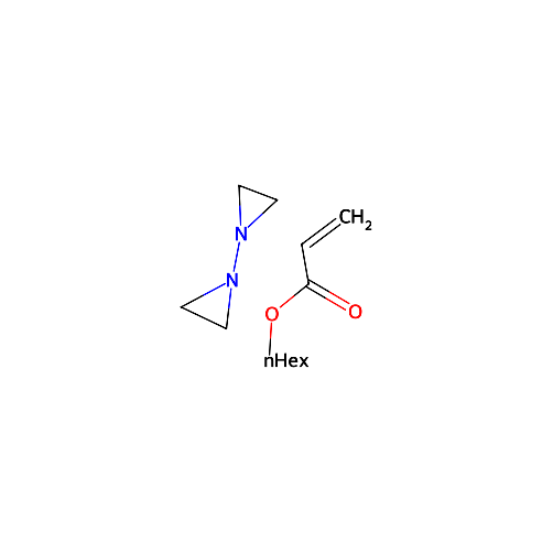 C1CN1N1CC1.C=CC(=O)OCCCCCC